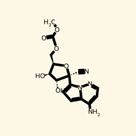 COC(=O)OC[C@H]1O[C@@](C#N)(c2ccc3c(N)ccnn23)[C@H](O)[C@@H]1O